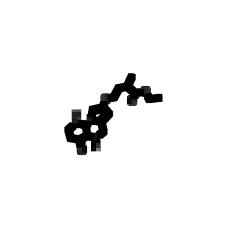 CCOC(=O)C(C)CCOc1cc2n(c1)C1NCCC(=O)C1NC2